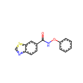 O=C(NOc1ccccc1)c1ccc2n[c]sc2c1